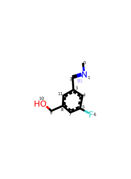 C/N=C/c1cc(F)cc(CO)c1